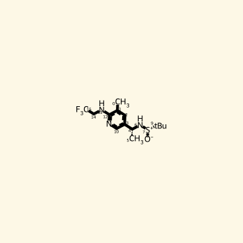 Cc1cc([C@@H](C)N[S+]([O-])C(C)(C)C)cnc1NCC(F)(F)F